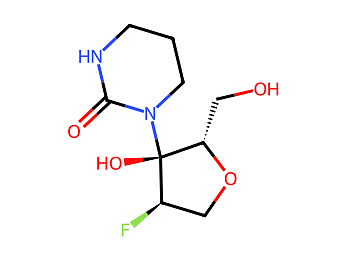 O=C1NCCCN1[C@@]1(O)[C@H](F)CO[C@H]1CO